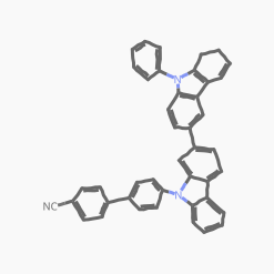 N#Cc1ccc(-c2ccc(-n3c4ccccc4c4ccc(-c5ccc6c(c5)c5c(n6-c6ccccc6)CCC=C5)cc43)cc2)cc1